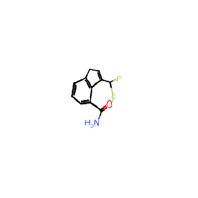 NC(=O)c1cccc2c1C(C(F)F)=CC2